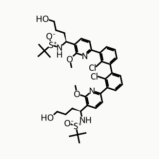 COc1nc(-c2cccc(-c3cccc(-c4ccc([C@H](CCCO)N[S@+]([O-])C(C)(C)C)c(OC)n4)c3Cl)c2Cl)ccc1[C@H](CCCO)N[S@+]([O-])C(C)(C)C